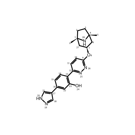 C[C@]12CC[C@](C)(C[C@@H](Oc3ccc(-c4ccc(-c5cn[nH]c5)cc4O)nn3)C1)N2